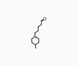 CC1CCN(CCCCC=O)CC1